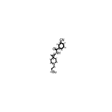 CC(C)(C)CCN1CCC2(CC1)CC2NC(=O)c1cccc(C#N)c1